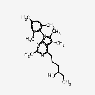 CCC(O)CCCc1nc(C)nc2c1c(C)c(C)n2-c1c(C)cc(C)cc1C